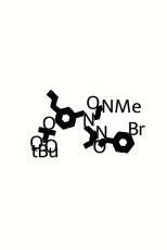 C=CCc1cc(CN(CC(=O)NC)Cc2nc(-c3cccc(Br)c3)oc2C)ccc1OC(C)(C)C(=O)OC(C)(C)C